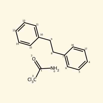 NC(=O)C(Cl)(Cl)Cl.c1ccc(CCc2ccccc2)cc1